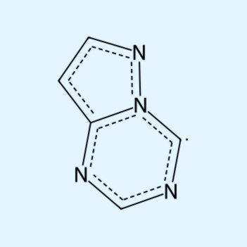 [c]1ncnc2ccnn12